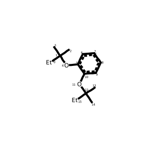 CCC(C)(C)Oc1c[c]ccc1OC(C)(C)CC